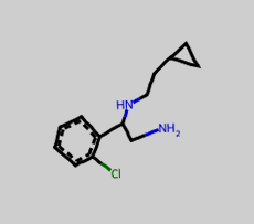 NCC(NCCC1CC1)c1ccccc1Cl